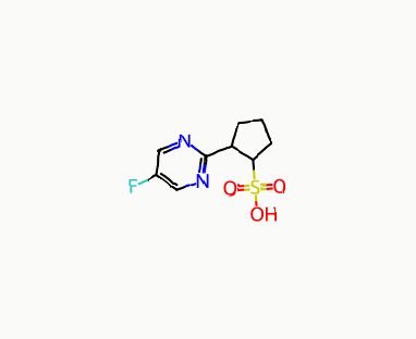 O=S(=O)(O)C1CCCC1c1ncc(F)cn1